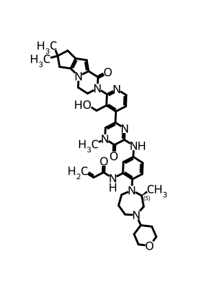 C=CC(=O)Nc1cc(Nc2nc(-c3ccnc(N4CCn5c(cc6c5CC(C)(C)C6)C4=O)c3CO)cn(C)c2=O)ccc1N1CCCN(C2CCOCC2)C[C@@H]1C